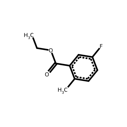 CCOC(=O)c1cc(F)ccc1C